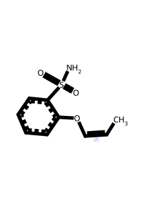 C/C=C\Oc1ccccc1S(N)(=O)=O